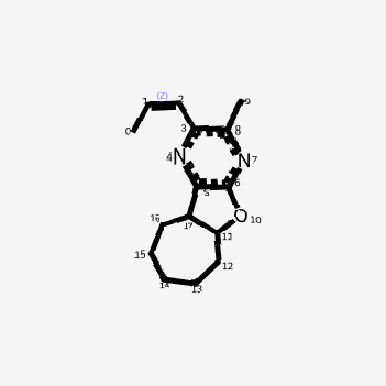 C/C=C\c1nc2c(nc1C)OC1CCCCCC21